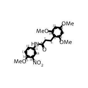 COc1cc(OC)c(CCC(=O)Nc2ccc(OC)c([N+](=O)[O-])c2)c(OC)c1